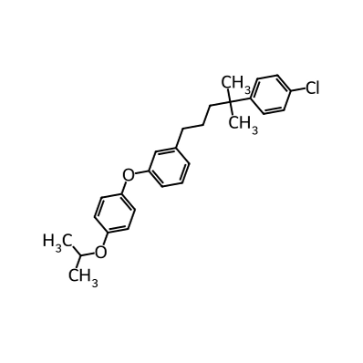 CC(C)Oc1ccc(Oc2cccc(CCCC(C)(C)c3ccc(Cl)cc3)c2)cc1